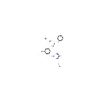 C#CCOc1nc(Nc2cc(NC(=O)[C@@H](Cc3ccccc3)NC(=O)OC(C)(C)C)c(C)c(C(=O)O)c2)ncc1Br